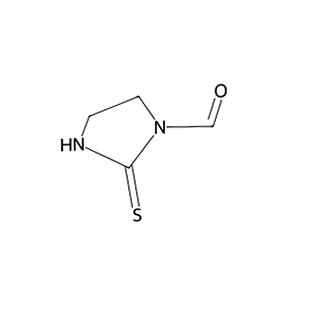 O=CN1CCNC1=S